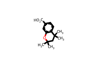 CC1(C)CC(C)(C)c2ccc(C(=O)O)cc2O1